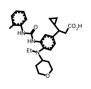 CCN(c1ccc(C(CC(=O)O)C2CC2)cc1NC(=O)Nc1ccccc1C)C1CCOCC1